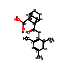 Cc1cc(C)c(CC(=O)C2C3CCC(CC3)C2C(=O)O)c(C)c1